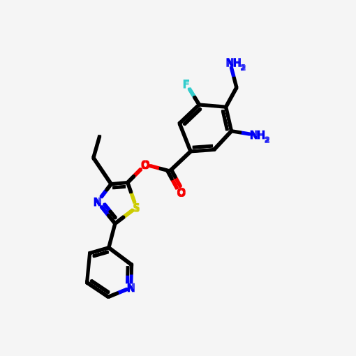 CCc1nc(-c2cccnc2)sc1OC(=O)c1cc(N)c(CN)c(F)c1